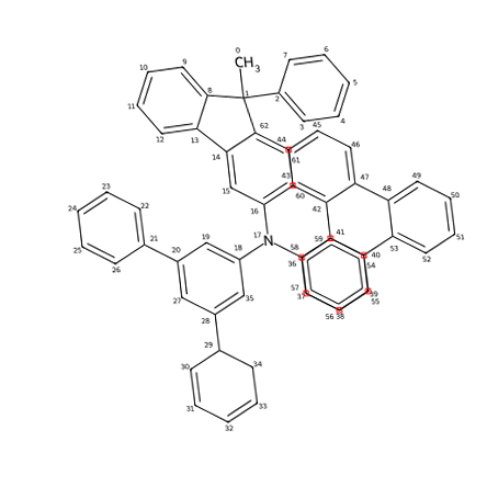 CC1(c2ccccc2)c2ccccc2-c2cc(N(c3cc(-c4ccccc4)cc(C4C=CC=CC4)c3)c3ccccc3-c3ccccc3-c3ccccc3-c3ccccc3)ccc21